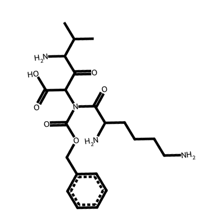 CC(C)C(N)C(=O)C(C(=O)O)N(C(=O)OCc1ccccc1)C(=O)C(N)CCCCN